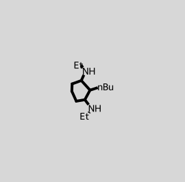 CCCCC1C(NCC)CCCC1NCC